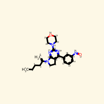 C=C(CCCC)N1CCc2c(-c3cccc(N=O)c3)nc(N3CCOCC3)nc21